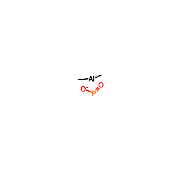 O=P[O-].[CH3][Al+][CH3]